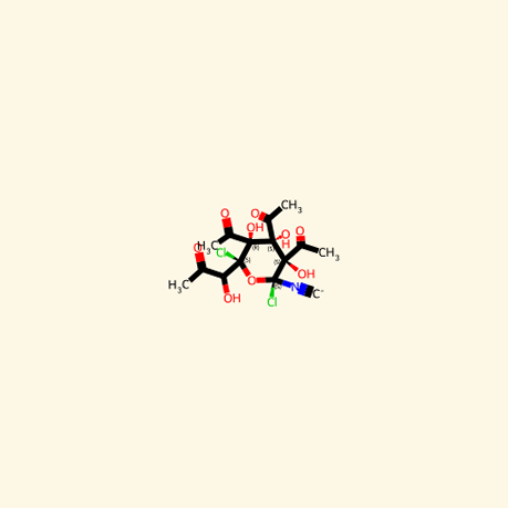 [C-]#[N+][C@]1(Cl)O[C@](Cl)(C(O)C(C)=O)[C@](O)(C(C)=O)[C@@](O)(C(C)=O)[C@]1(O)C(C)=O